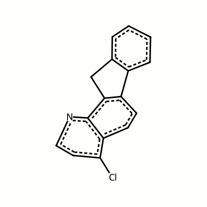 Clc1ccnc2c3c(ccc12)-c1ccccc1C3